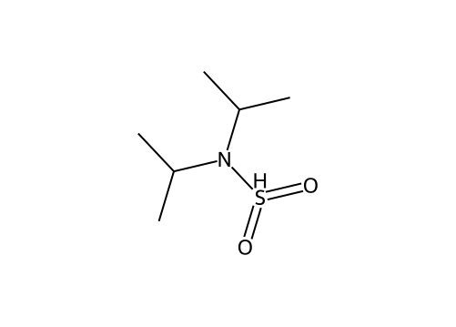 CC(C)N(C(C)C)[SH](=O)=O